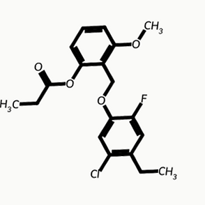 CCC(=O)Oc1cccc(OC)c1COc1cc(Cl)c(CC)cc1F